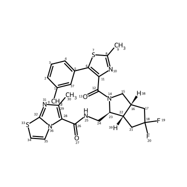 Cc1cccc(-c2sc(C)nc2C(=O)N2C[C@@H]3CC(F)(F)C[C@@H]3[C@H]2CNC(=O)c2c(C)nc3sccn23)c1